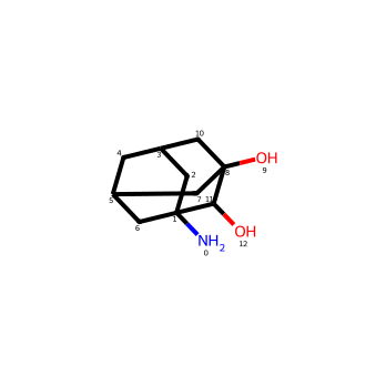 NC12CC3CC(C1)CC(O)(C3)C2O